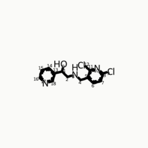 OC(CNCc1ccc(Cl)nc1Cl)c1cccnc1